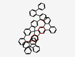 c1ccc(-c2ccccc2-c2ccccc2-c2ccc3c(c2)C2(c4cc(-c5ccccc5-c5ccccc5-c5ccccc5)ccc4-3)c3cc(-c4ccccc4-c4ccccc4-c4ccccc4)ccc3-c3ccc(-c4ccccc4-c4ccccc4-c4ccccc4)cc32)cc1